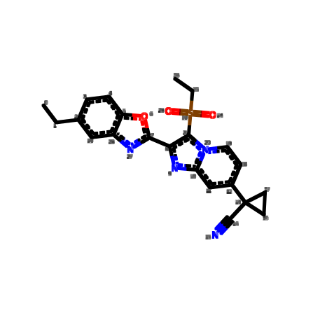 CCc1ccc2oc(-c3nc4cc(C5(C#N)CC5)ccn4c3S(=O)(=O)CC)nc2c1